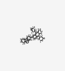 c1ccc(-c2c3ccccc3c(-c3ccccc3)c3cc(-c4ccc5c(c4)oc4ccccc45)ccc23)cc1